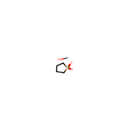 CCO.O=S1(=O)CCCC1